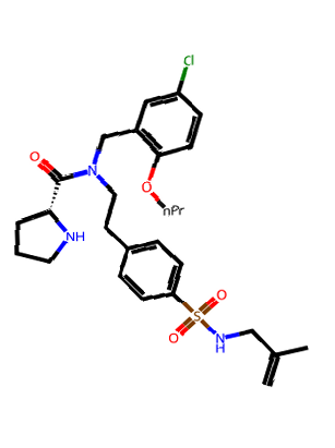 C=C(C)CNS(=O)(=O)c1ccc(CCN(Cc2cc(Cl)ccc2OCCC)C(=O)[C@H]2CCCN2)cc1